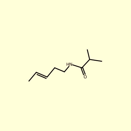 C/C=C/CCNC(=O)C(C)C